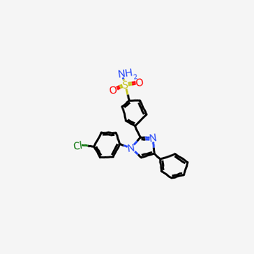 NS(=O)(=O)c1ccc(-c2nc(-c3ccccc3)cn2-c2ccc(Cl)cc2)cc1